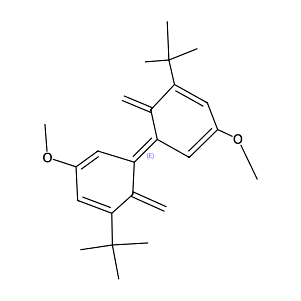 C=c1c(C(C)(C)C)cc(OC)c/c1=c1/cc(OC)cc(C(C)(C)C)c1=C